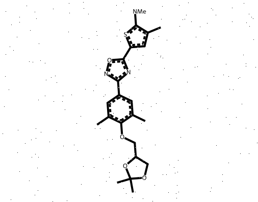 CNc1sc(-c2nc(-c3cc(C)c(OCC4COC(C)(C)O4)c(C)c3)no2)cc1C